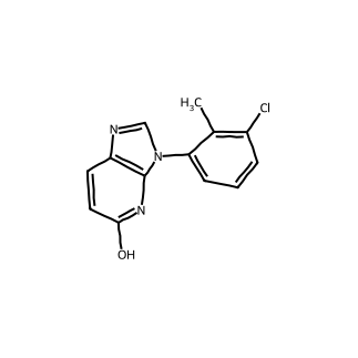 Cc1c(Cl)cccc1-n1cnc2ccc(O)nc21